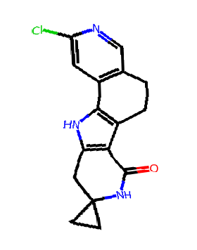 O=C1NC2(CC2)Cc2[nH]c3c(c21)CCc1cnc(Cl)cc1-3